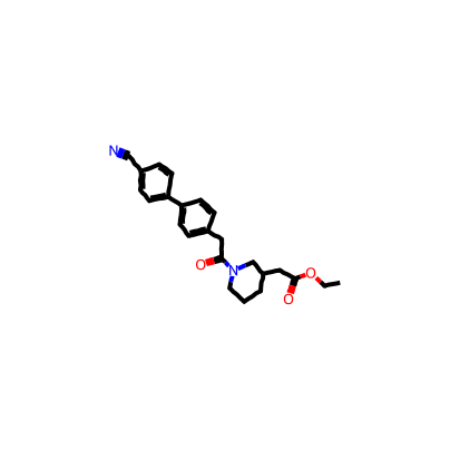 CCOC(=O)CC1CCCN(C(=O)Cc2ccc(-c3ccc(C#N)cc3)cc2)C1